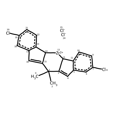 CC1(C)C2=Cc3cc(Cl)ccc3[CH]2[Zr+2][CH]2C1=Cc1cc(Cl)ccc12.[Cl-].[Cl-]